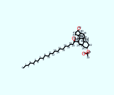 CCCCCCCCCCCCCCCCCCCCCC(=O)C1C=C2C[C@@H](OC(C)=O)CC[C@]2(C)[C@H]2CC[C@]3(C)C(=O)CC[C@H]3[C@H]12